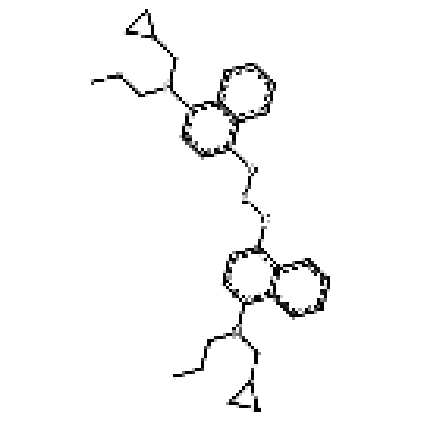 CCCN(CC1CC1)c1ccc(OBOc2ccc(N(CCC)CC3CC3)c3ccccc23)c2ccccc12